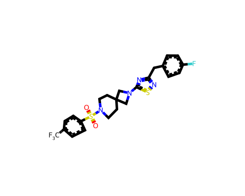 O=S(=O)(c1ccc(C(F)(F)F)cc1)N1CCC2(CC1)CN(c1nc(Cc3ccc(F)cc3)ns1)C2